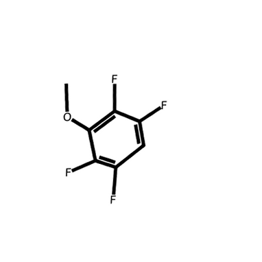 COc1c(F)c(F)cc(F)c1F